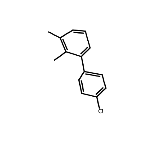 Cc1cccc(-c2ccc(Cl)cc2)c1C